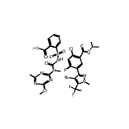 CC(C)OC(=O)c1cc(-c2nn(C)c(C(F)(F)F)c2Br)c(F)cc1Cl.COc1nc(C)nc(N(C)C(=O)NS(=O)(=O)c2ccccc2C(=O)O)n1